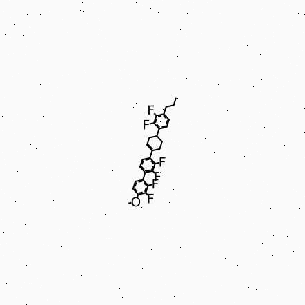 CCCc1ccc(C2CC=C(c3ccc(-c4ccc(OC)c(F)c4F)c(F)c3F)CC2)c(F)c1F